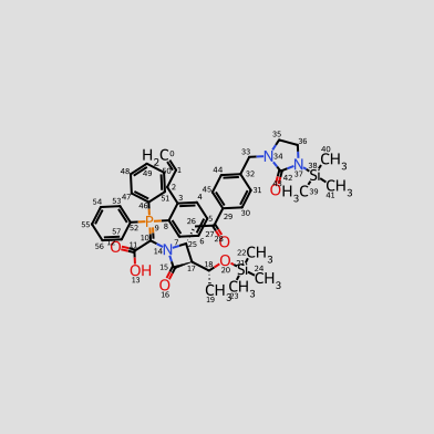 C=CCc1ccccc1P(=C(C(=O)O)N1C(=O)[C@H]([C@@H](C)O[Si](C)(C)C)[C@H]1CC(=O)c1ccc(CN2CCN([Si](C)(C)C)C2=O)cc1)(c1ccccc1)c1ccccc1